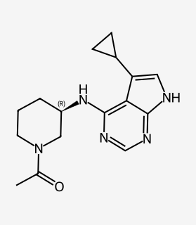 CC(=O)N1CCC[C@@H](Nc2ncnc3[nH]cc(C4CC4)c23)C1